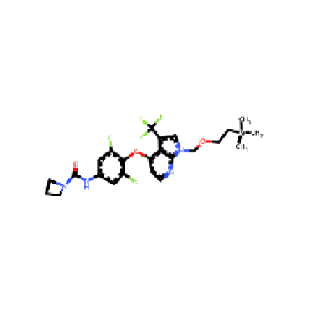 C[Si](C)(C)CCOCn1cc(C(F)(F)F)c2c(Oc3c(F)cc(NC(=O)N4CCC4)cc3F)ccnc21